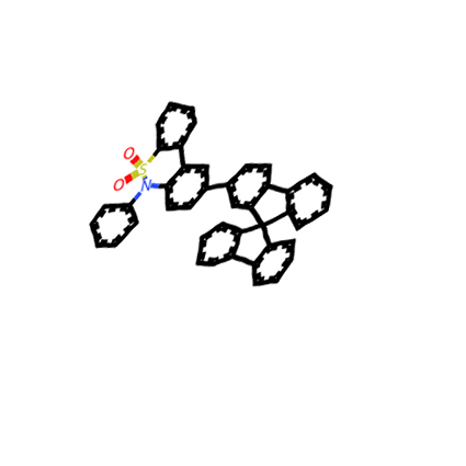 O=S1(=O)c2ccccc2-c2cc(-c3ccc4c(c3)C3(c5ccccc5-c5ccccc53)c3ccccc3-4)ccc2N1c1ccccc1